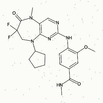 CNC(=O)c1ccc(Nc2ncc3c(n2)N(C2CCCC2)CC(F)(F)C(=O)N3C)c(OC)c1